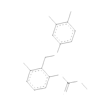 COC(=O)Oc1cccc(Cl)c1COc1ccc(C)c(C)c1